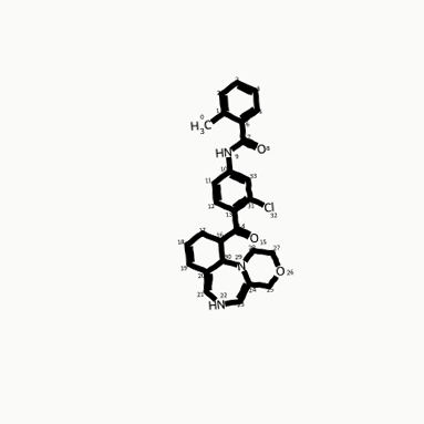 Cc1ccccc1C(=O)Nc1ccc(C(=O)C2CC=CC3=CNC=C4COCCN4C32)c(Cl)c1